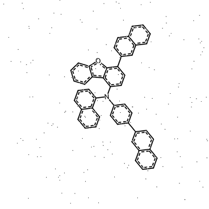 c1ccc2cc(-c3ccc(N(c4cccc5ccccc45)c4ccc(-c5ccc6ccccc6c5)c5oc6ccccc6c45)cc3)ccc2c1